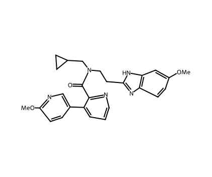 COc1ccc2nc(CCN(CC3CC3)C(=O)c3ncccc3-c3ccc(OC)nc3)[nH]c2c1